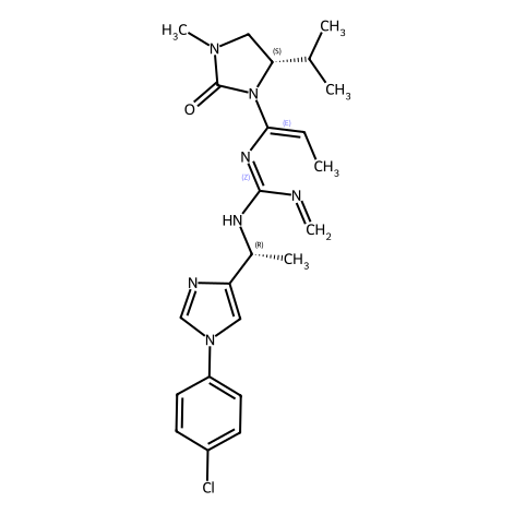 C=N/C(=N\C(=C/C)N1C(=O)N(C)C[C@@H]1C(C)C)N[C@H](C)c1cn(-c2ccc(Cl)cc2)cn1